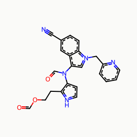 N#Cc1ccc2c(c1)c(N(C=O)c1cc[nH]c1CCOC=O)cn2Cc1ccccn1